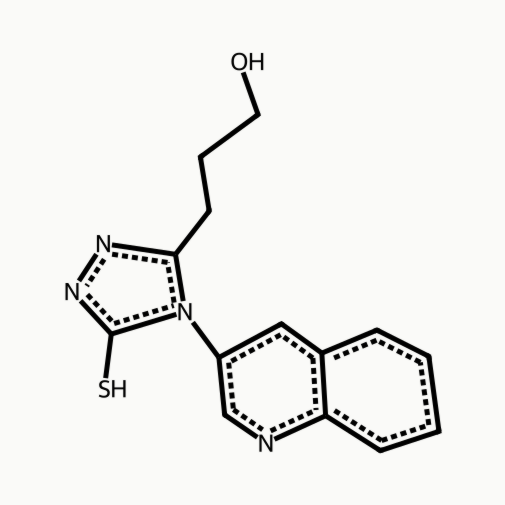 OCCCc1nnc(S)n1-c1cnc2ccccc2c1